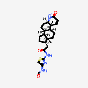 C[C@]12C=CC(=O)N[C@@H]1CC[C@@H]1[C@@H]2CC[C@]2(C)[C@@H](CC(=O)Nc3nc(NC=O)cs3)CC[C@@H]12